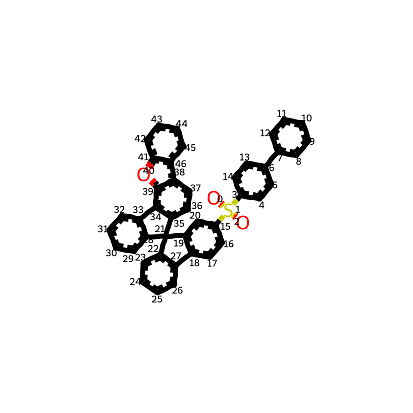 O=S(=O)(c1ccc(-c2ccccc2)cc1)c1ccc2c(c1)C1(c3ccccc3-2)c2ccccc2-c2c1ccc1c2oc2ccccc21